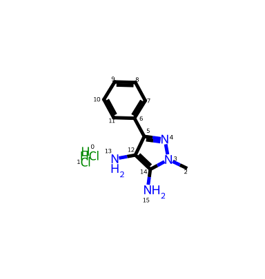 Cl.Cl.Cn1nc(-c2ccccc2)c(N)c1N